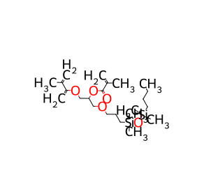 C=C(C)C(=C)OCC(COCCC[Si](C)(C)O[Si](C)(C)CCCC)OC(=O)C(=C)C